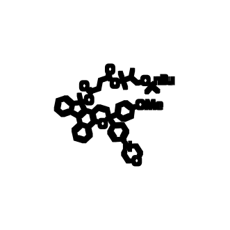 CCCCC(C)(C)OCC(C)C(C)(C)OC(=O)CCC(=O)OC1(C)c2ccccc2-c2c1c1c(c3ccccc23)OC(c2ccc(OC)cc2)(c2ccc(N3CCOCC3)cc2)C=C1